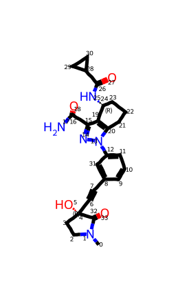 CN1CC[C@@](O)(C#Cc2cccc(-n3nc(C(N)=O)c4c3CCC[C@H]4NC(=O)C3CC3)c2)C1=O